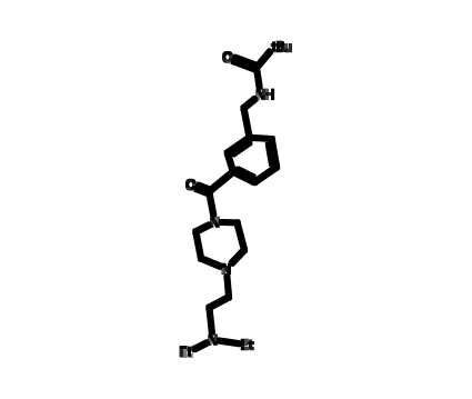 CCN(CC)CCN1CCN(C(=O)c2cccc(CNC(=O)C(C)(C)C)c2)CC1